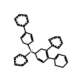 C1=CCCC(C2=C(c3ccccc3)CC(N(c3ccccc3)C3C=CC(c4ccccc4)=CC3)C=C2)=C1